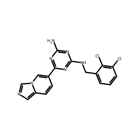 Nc1nc(NCc2cccc(Cl)c2Cl)nc(-c2ccc3cncn3c2)n1